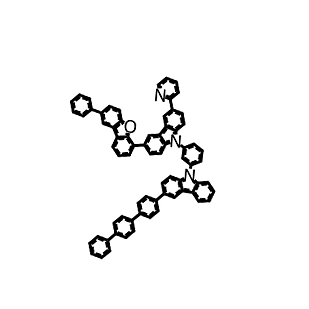 c1ccc(-c2ccc(-c3ccc(-c4ccc5c(c4)c4ccccc4n5-c4cccc(-n5c6ccc(-c7ccccn7)cc6c6cc(-c7cccc8c7oc7ccc(-c9ccccc9)cc78)ccc65)c4)cc3)cc2)cc1